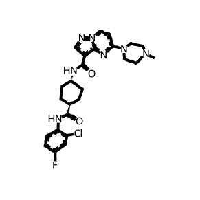 CN1CCN(c2ccn3ncc(C(=O)N[C@H]4CC[C@H](C(=O)Nc5ccc(F)cc5Cl)CC4)c3n2)CC1